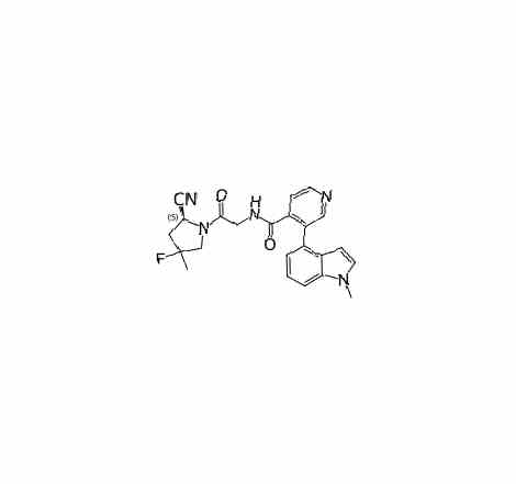 Cn1ccc2c(-c3cnccc3C(=O)NCC(=O)N3CC(C)(F)C[C@H]3C#N)cccc21